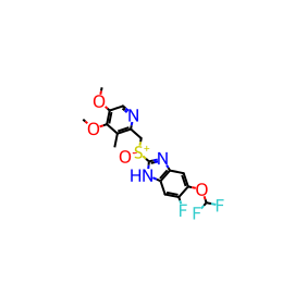 COc1cnc(C[S+]([O-])c2nc3cc(OC(F)F)c(F)cc3[nH]2)c(C)c1OC